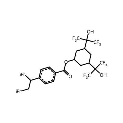 CC(C)CC(c1ccc(C(=O)OC2CC(C(O)(C(F)(F)F)C(F)(F)F)CC(C(O)(C(F)(F)F)C(F)(F)F)C2)cc1)C(C)C